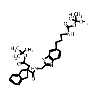 CC(C)(C)OC(=O)CC1(C(=O)NCc2nc3ccc(CCCNC(=O)OC(C)(C)C)cc3s2)Cc2ccccc2C1